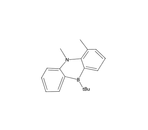 Cc1cccc2c1N(C)c1ccccc1B2C(C)(C)C